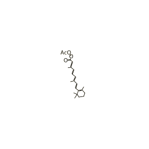 CC(=O)OOC(=O)/C=C(C)/C=C/C=C(C)/C=C/C1=C(C)CCCC1(C)C